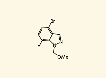 COCn1ncc2c(Br)ccc(F)c21